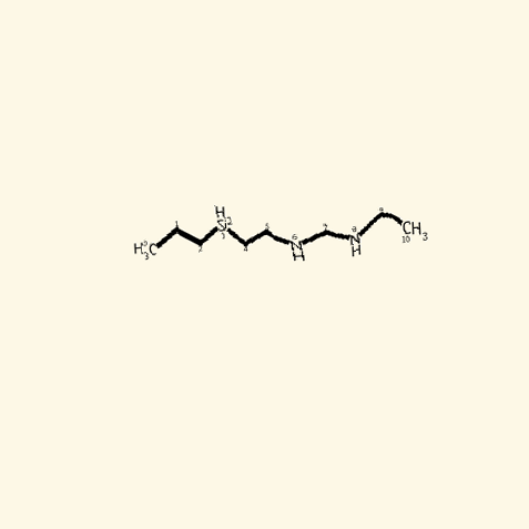 CCC[SiH2]CCNCNCC